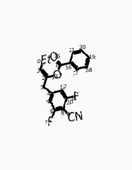 CCC=C(Cc1cc(F)c(C#N)c(F)c1)OC(=O)c1ccccc1